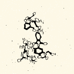 C#CCN1C(=O)COc2cc(F)c(N3C(=O)C4=C(CCCC4)C3=O)cc21.CCNc1nc(Cl)nc(NC(C)(C)C)n1.CCc1cccc(C)c1N(C(=O)CCl)C(C)COC